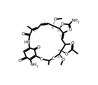 CO[C@H]1/C=C\C=C(/C)C(=O)NC2=CC(=O)C(N)=C(CC(C)C[C@H](OC)[C@H](OC(C)=O)C(C)/C=C(\C)[C@@H]1OC(N)=O)C2=O